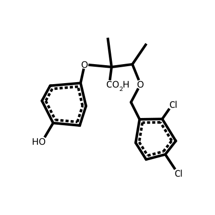 CC(OCc1ccc(Cl)cc1Cl)C(C)(Oc1ccc(O)cc1)C(=O)O